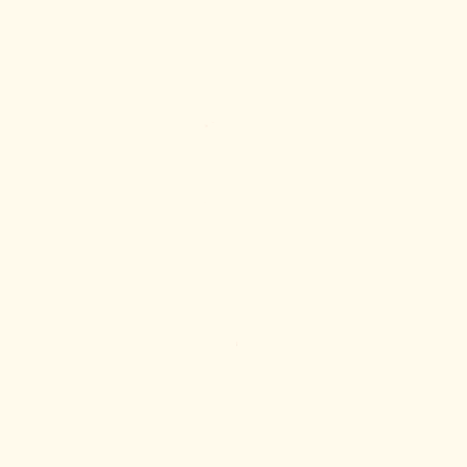 CCCC1CCC(c2ccc(OC(F)(F)F)c(F)c2)C1